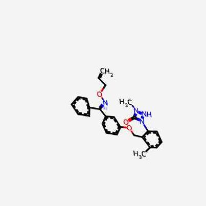 C=CCO/N=C(\c1ccccc1)c1cccc(OCc2c(C)cccc2-n2[nH]n(C)c2=O)c1